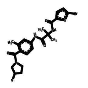 Cc1cc(NC(=O)C(C)(C)NC(=O)c2ccc(Br)s2)ccc1C(=O)N1CCC(F)C1